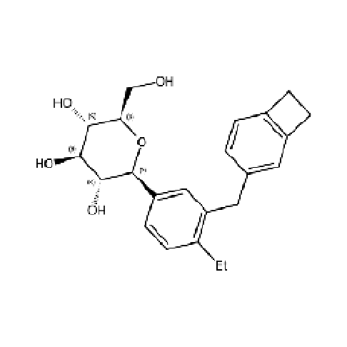 CCc1ccc([C@@H]2O[C@H](CO)[C@@H](O)[C@H](O)[C@H]2O)cc1Cc1ccc2c(c1)CC2